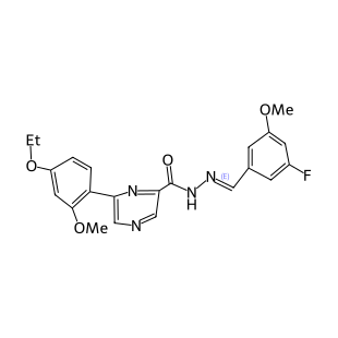 CCOc1ccc(-c2cncc(C(=O)N/N=C/c3cc(F)cc(OC)c3)n2)c(OC)c1